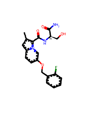 Cc1cc2ccc(OCc3ccccc3F)cn2c1C(=O)N[C@H](CO)C(N)=O